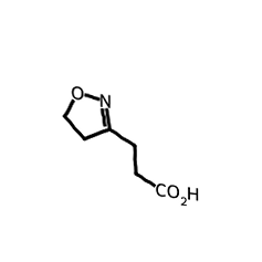 O=C(O)CCC1=NOCC1